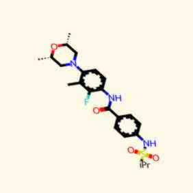 Cc1c(N2C[C@@H](C)O[C@@H](C)C2)ccc(NC(=O)c2ccc(NS(=O)(=O)C(C)C)cc2)c1F